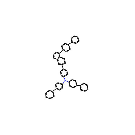 c1ccc(-c2ccc(-c3cccc4cc(-c5ccc(N(c6ccc(-c7ccccc7)cc6)c6ccc(-c7ccccc7)cc6)cc5)ccc34)cc2)cc1